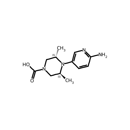 C[C@H]1CN(C(=O)O)C[C@H](C)N1c1ccc(N)nc1